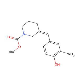 CC(C)(C)OC(=O)N1CCCC(=Cc2ccc(O)c([N+](=O)[O-])c2)C1